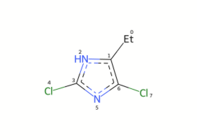 CCc1[nH]c(Cl)nc1Cl